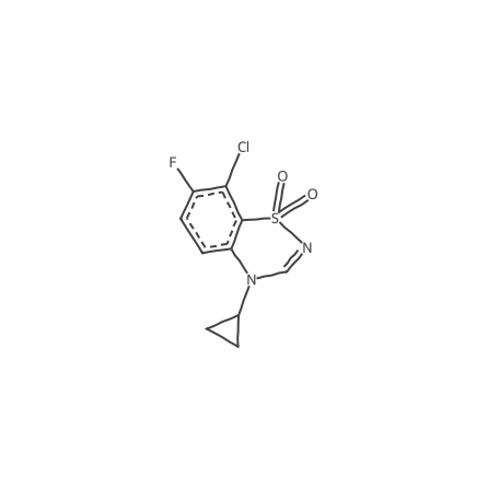 O=S1(=O)N=CN(C2CC2)c2ccc(F)c(Cl)c21